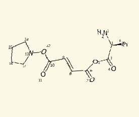 CC(C)[C@H](N)C(=O)OC(=O)/C=C/C(=O)ON1CCCC1